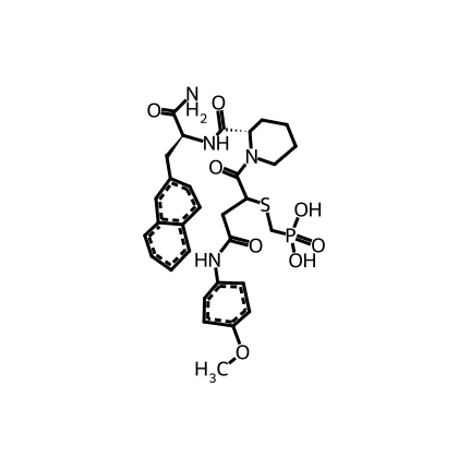 COc1ccc(NC(=O)CC(SCP(=O)(O)O)C(=O)N2CCCC[C@H]2C(=O)N[C@@H](Cc2ccc3ccccc3c2)C(N)=O)cc1